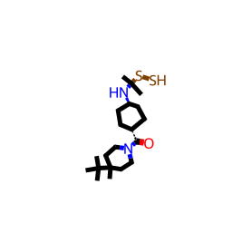 CC(C)(N[C@H]1CC[C@H](C(=O)N2CCC(C)(C(C)(C)C)CC2)CC1)SS